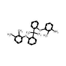 Cc1c(N)cccc1Oc1ccccc1C(c1ccccc1Oc1cccc(N)c1C)(C(F)(F)F)C(F)(F)F